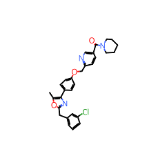 Cc1oc(Cc2cccc(Cl)c2)nc1-c1ccc(OCc2ccc(C(=O)N3CCCCC3)cn2)cc1